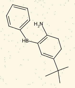 CC(C)(C)C1=CC(Bc2ccccc2)=C(N)CC1